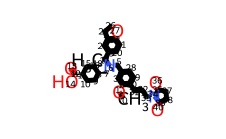 COc1cc(CN(C[C@H]2CC[C@H](C(=O)O)CC2)C(C)c2ccc3c(c2)CCO3)ccc1C=CCN1C(=O)CCC1=O